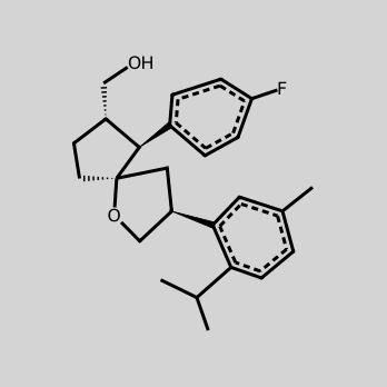 Cc1ccc(C(C)C)c([C@H]2CO[C@]3(CC[C@H](CO)[C@H]3c3ccc(F)cc3)C2)c1